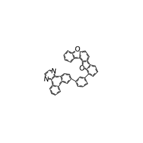 c1cc(-c2ccc3c(c2)c2ccccc2c2nccnc32)cc(-c2cccc3c2oc2c3ccc3oc4ccccc4c32)c1